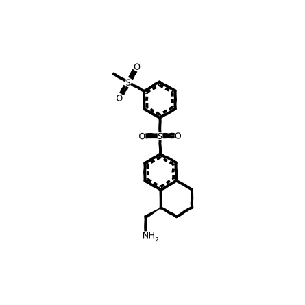 CS(=O)(=O)c1cccc(S(=O)(=O)c2ccc3c(c2)CCC[C@H]3CN)c1